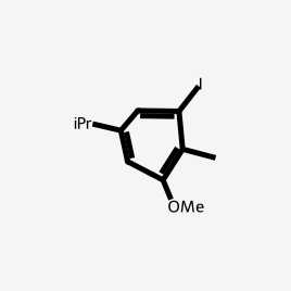 COc1cc(C(C)C)cc(I)c1C